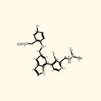 CCOC(=O)Cc1cc(F)ccc1OCc1cc(-c2ccnc(CN[S+]([O-])C(C)(C)C)c2F)c2occc2c1